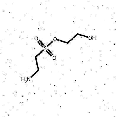 NCCS(=O)(=O)OCCO